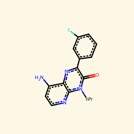 CCCn1c(=O)c(-c2cccc(F)c2)nc2c(N)ccnc21